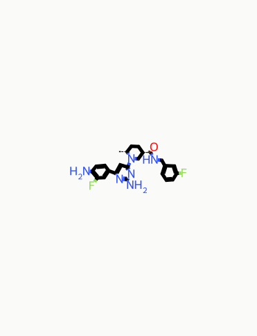 C[C@@H]1CC[C@H](C(=O)NCc2cccc(F)c2)CN1c1cc(-c2ccc(N)c(F)c2)nc(N)n1